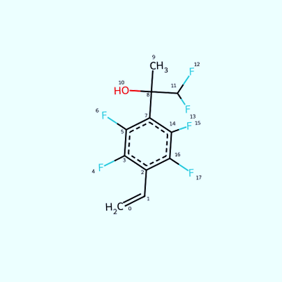 C=Cc1c(F)c(F)c(C(C)(O)C(F)F)c(F)c1F